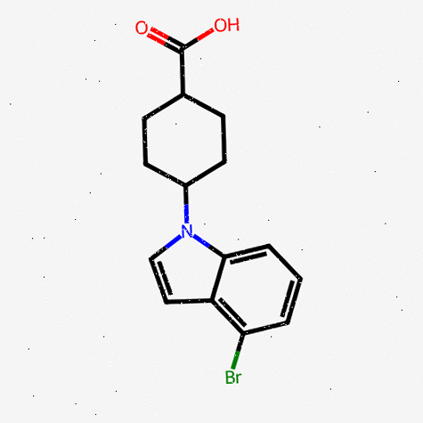 O=C(O)C1CCC(n2ccc3c(Br)cccc32)CC1